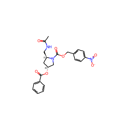 CC(=O)NC[C@@H]1C[C@@H](OC(=O)c2ccccc2)CN1C(=O)OCc1ccc([N+](=O)[O-])cc1